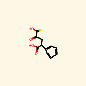 O=C(CC(C(=O)O)c1ccccc1)C(O)=S